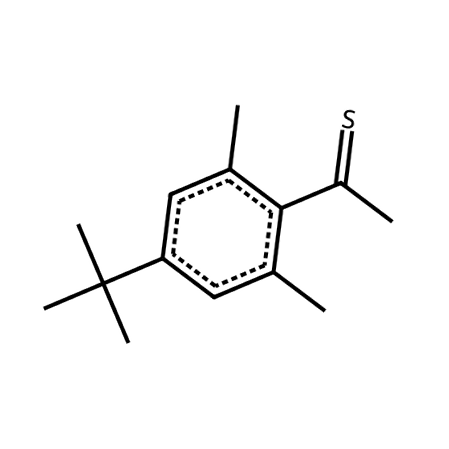 CC(=S)c1c(C)cc(C(C)(C)C)cc1C